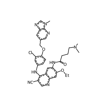 CCOc1cc2ncc(C#N)c(Nc3ccc(OCc4cnc5c(c4)ncn5C)c(Cl)c3)c2cc1NC(=O)CCCN(C)C